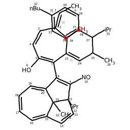 C/C=C1/C=CC(O)=C(C2=C(N=O)C3(C(C)C)C=CC4=CC=CC=C2C43C)/C(=C/C(C)C(c2ccc(CCCC)cc2)C(C)C)C1C